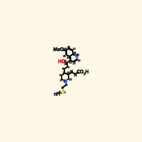 CCCSCCN1CCC(CC[C@H](O)c2ccnc3ccc(OC)cc23)C(CCC(=O)O)C1